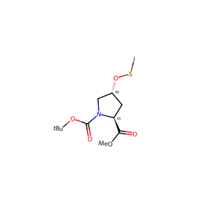 COC(=O)[C@@H]1C[C@@H](OSI)CN1C(=O)OC(C)(C)C